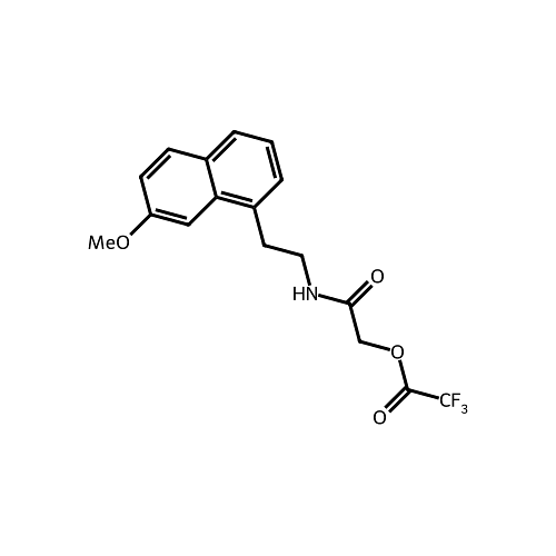 COc1ccc2cccc(CCNC(=O)COC(=O)C(F)(F)F)c2c1